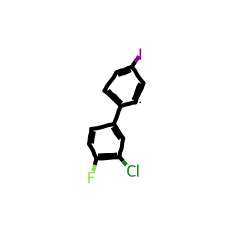 Fc1ccc(-c2[c]cc(I)cc2)cc1Cl